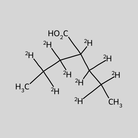 [2H]C([2H])(C)C([2H])([2H])C([2H])(C(=O)O)C([2H])([2H])C([2H])([2H])C